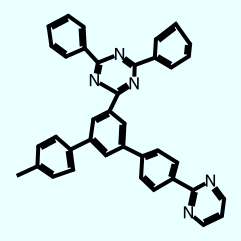 Cc1ccc(-c2cc(-c3ccc(-c4ncccn4)cc3)cc(-c3nc(-c4ccccc4)nc(-c4ccccc4)n3)c2)cc1